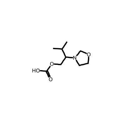 CC(C)C(COC(=O)O)N1CCOC1